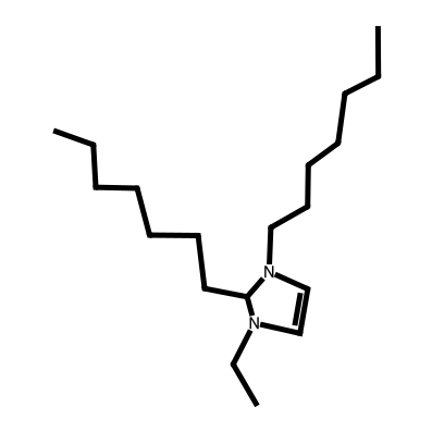 CCCCCCCC1N(CC)C=CN1CCCCCCC